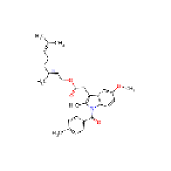 COc1ccc2c(c1)c(CC(=O)OC/C=C(\C)CCC=C(C)C)c(C)n2C(=O)c1ccc(C)cc1